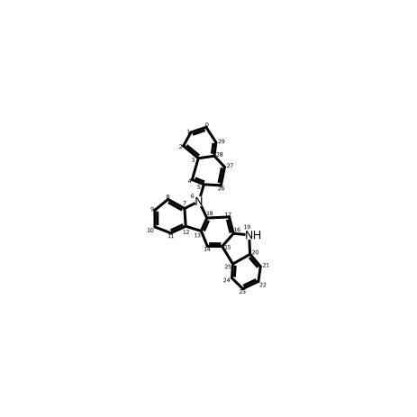 c1ccc2cc(-n3c4ccccc4c4cc5c(cc43)[nH]c3ccccc35)ccc2c1